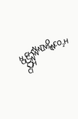 CC(Nc1nc(N2CCN(C(=O)[C@H]3CCN3C(=O)O)CC2)ncc1Cl)c1ccc(Cl)cc1Cl